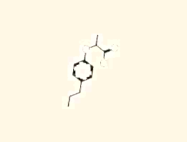 CCCc1ccc(OC(C)C(=O)Cl)cc1